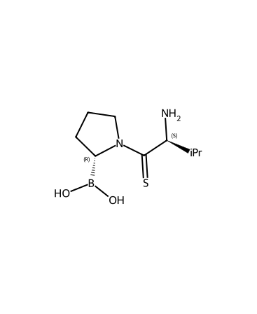 CC(C)[C@H](N)C(=S)N1CCC[C@H]1B(O)O